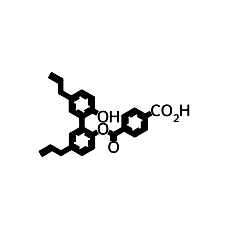 C=CCc1ccc(O)c(-c2cc(CC=C)ccc2OC(=O)c2ccc(C(=O)O)cc2)c1